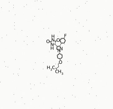 CC(C)CCOc1ccc(-n2cc(C3NC(=O)NC3=O)c(-c3ccc(F)cc3)n2)cc1